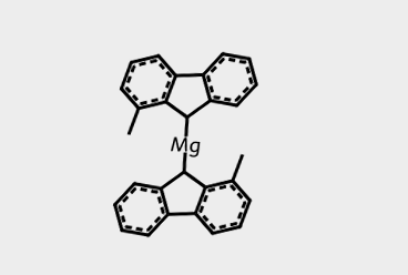 Cc1cccc2c1[CH]([Mg][CH]1c3ccccc3-c3cccc(C)c31)c1ccccc1-2